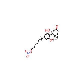 CC(C)(CCCCCO[N+](=O)[O-])c1cc(O)c2c(c1)OC(C)(C)[C@@H]1CCC(=O)C[C@@H]21